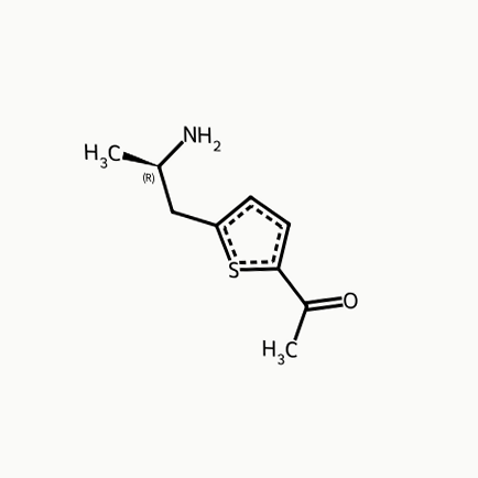 CC(=O)c1ccc(C[C@@H](C)N)s1